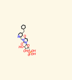 O=c1ccn([C@@H]2O[C@H](COP(=O)(O)O)C(O)C2O)c(=O)n1Cc1cc(Cc2ccccc2)ccn1